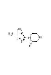 CC(C)(C)OC(=O)N1CCNCC1F